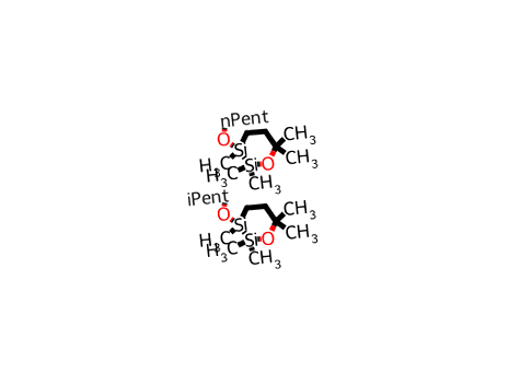 CCCC(C)O[Si]1(C)CCC(C)(C)O[Si]1(C)C.CCCCCO[Si]1(C)CCC(C)(C)O[Si]1(C)C